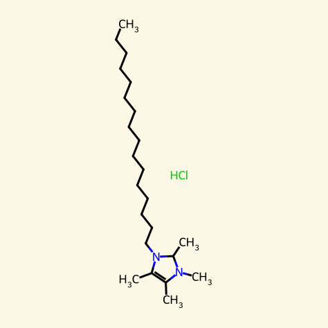 CCCCCCCCCCCCCCCCN1C(C)=C(C)N(C)C1C.Cl